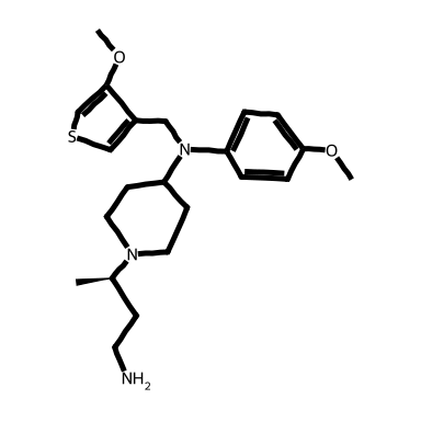 COc1ccc(N(Cc2cscc2OC)C2CCN([C@H](C)CCN)CC2)cc1